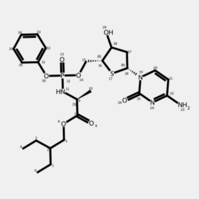 CCC(CC)COC(=O)[C@H](C)NP(=O)(OC[C@H]1S[C@@H](n2ccc(N)nc2=O)CC1O)Oc1ccccc1